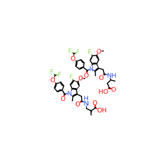 COc1cc2c(CC(=O)NC(C)CC(=O)O)c(C)n(C(=O)c3ccc(OC(F)F)cc3)c2cc1F.COc1cc2c(CC(=O)NCC(C)C(=O)O)c(C)n(C(=O)c3ccc(OC(F)F)cc3)c2cc1F